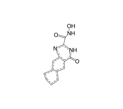 O=C(NO)c1nc2cc3ccccc3cc2c(=O)[nH]1